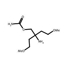 COCCC(N)(CCOC)COC(N)=O